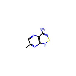 Cc1cnc2c(n1)NSN=C2N